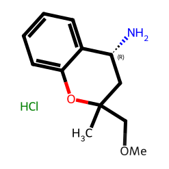 COCC1(C)C[C@@H](N)c2ccccc2O1.Cl